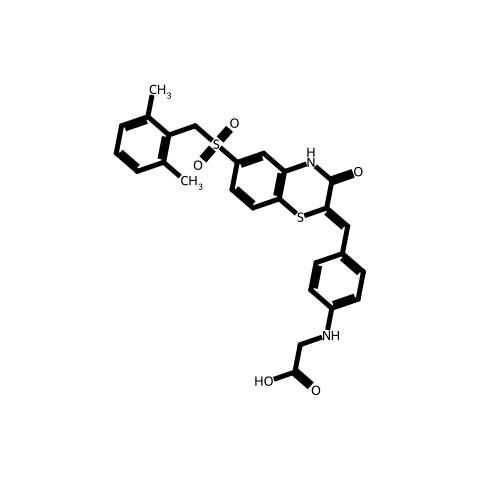 Cc1cccc(C)c1CS(=O)(=O)c1ccc2c(c1)NC(=O)C(=Cc1ccc(NCC(=O)O)cc1)S2